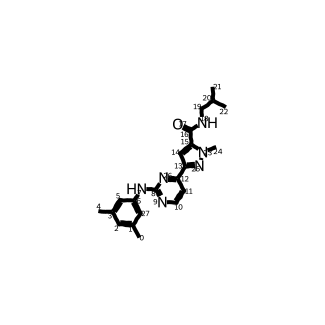 Cc1cc(C)cc(Nc2nccc(-c3cc(C(=O)NCC(C)C)n(C)n3)n2)c1